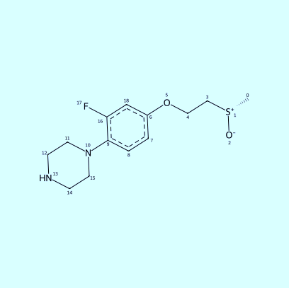 C[S@+]([O-])CCOc1ccc(N2CCNCC2)c(F)c1